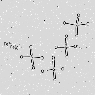 O=S(=O)([O-])[O-].O=S(=O)([O-])[O-].O=S(=O)([O-])[O-].O=S(=O)([O-])[O-].[Al+3].[Fe+2].[Fe+3]